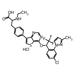 CCNC(Cc1ccc(-c2csc3c(O[C@H](c4ccc(Cl)cc4-n4ccc(C)n4)C(F)(F)F)ncnc23)cc1)C(=O)O.Cl